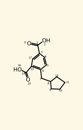 O=C(O)c1ccc(CC2CCCC2)c(C(=O)O)c1